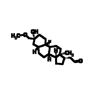 COC[C@@]1(O)CC[C@]2(F)C3CC[C@@]4(C)[C@H](CC=O)CC[C@H]4[C@@H]3CC[C@@H]2C1